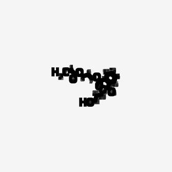 C=CC(=O)OCCCOC(=O)c1ccccc1C(=O)OCCCO